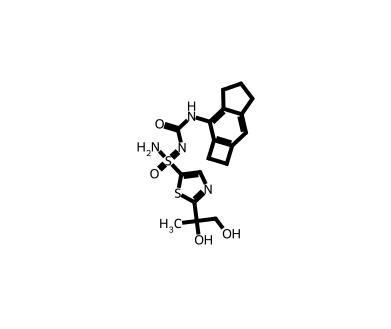 CC(O)(CO)c1ncc(S(N)(=O)=NC(=O)Nc2c3c(cc4c2CC4)CCC3)s1